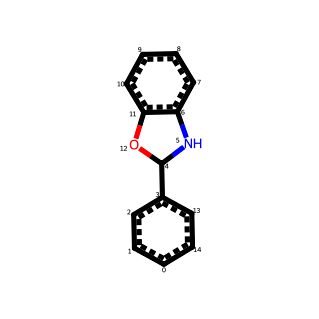 c1ccc([C]2Nc3ccccc3O2)cc1